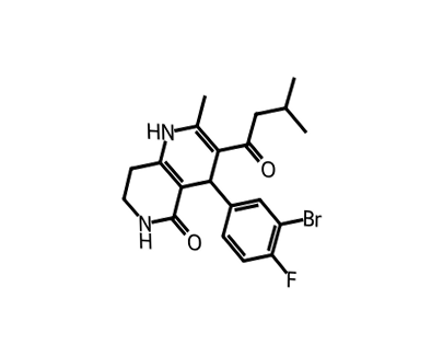 CC1=C(C(=O)CC(C)C)C(c2ccc(F)c(Br)c2)C2=C(CCNC2=O)N1